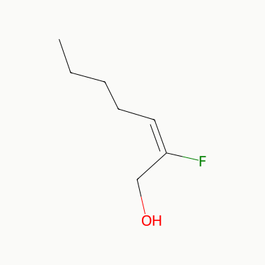 CCCC/C=C(/F)CO